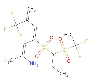 C=C(/C=C(\C=C(\C)N)S(=O)(=O)C(CC)S(=O)(=O)C(C)(F)F)C(F)(F)F